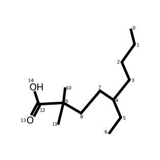 CCCCC(CC)CCC(C)(C)C(=O)O